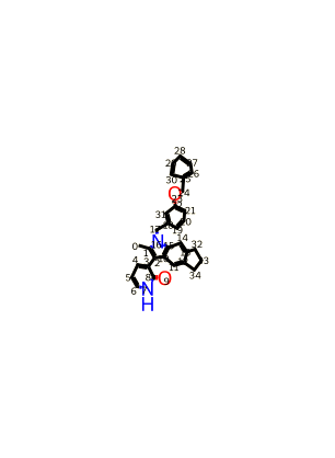 Cc1c(-c2ccc[nH]c2=O)c2cc3c(cc2n1Cc1cccc(OCc2ccccc2)c1)CCC3